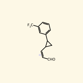 O=C/C=C\C1CC1c1cccc(C(F)(F)F)c1